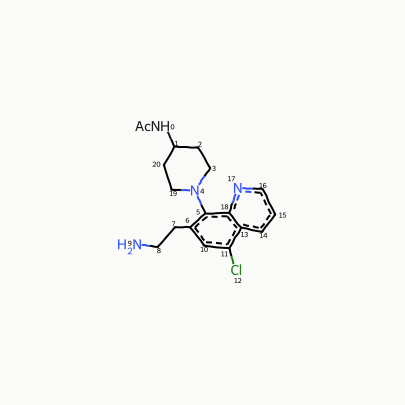 CC(=O)NC1CCN(c2c(CCN)cc(Cl)c3cccnc23)CC1